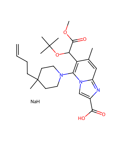 C=CCCC1(C)CCN(c2c(C(OC(C)(C)C)C(=O)OC)c(C)cc3nc(C(=O)O)cn23)CC1.[NaH]